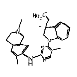 Cc1cc2c(cc1Nc1ncc(C)c(N3C[C@@](C)(CC(=O)O)c4ccccc43)n1)CN(C)CC2